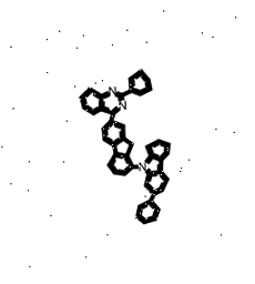 c1ccc(-c2ccc3c4ccccc4n(-c4cccc5c4Cc4cc(-c6nc(-c7ccccc7)nc7ccccc67)ccc4-5)c3c2)cc1